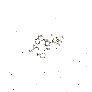 CNC(=O)c1ccc(C)c(Nc2nc(NC[C@H]3CCCN3)nc(N(C)CC(C)(C)C)n2)c1